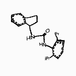 CC(C)c1cccc(C(C)C)c1NC(=O)NC1CCc2ccccc21